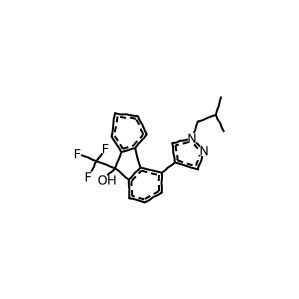 CC(C)Cn1cc(-c2cccc3c2-c2ccccc2C3(O)C(F)(F)F)cn1